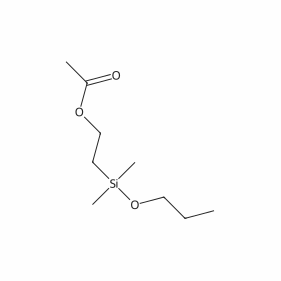 CCCO[Si](C)(C)CCOC(C)=O